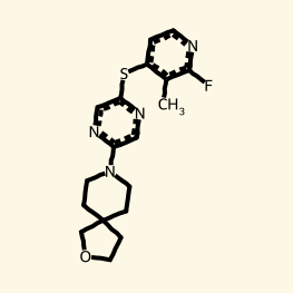 Cc1c(Sc2cnc(N3CCC4(CCOC4)CC3)cn2)ccnc1F